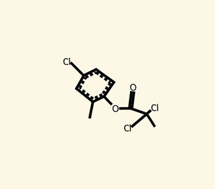 Cc1cc(Cl)ccc1OC(=O)C(C)(Cl)Cl